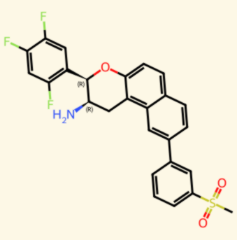 CS(=O)(=O)c1cccc(-c2ccc3ccc4c(c3c2)C[C@@H](N)[C@@H](c2cc(F)c(F)cc2F)O4)c1